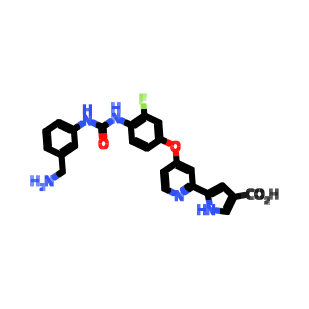 NCc1cccc(NC(=O)Nc2ccc(Oc3ccnc(-c4cc(C(=O)O)c[nH]4)c3)cc2F)c1